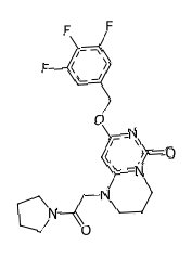 O=C(CN1CCCn2c1cc(OCc1cc(F)c(F)c(F)c1)nc2=O)N1CCCC1